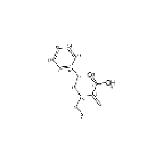 C=C(C(=O)O)C(CC)CCc1ccccc1